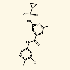 O=C(Nc1ccc(F)c(Cl)c1)c1cc(F)nc(NS(=O)(=O)C2CC2)c1